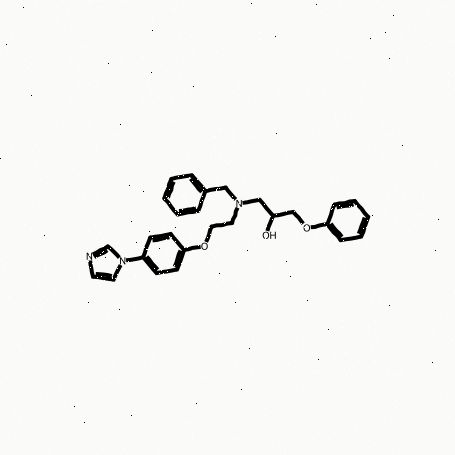 OC(COc1ccccc1)CN(CCOc1ccc(-n2ccnc2)cc1)Cc1ccccc1